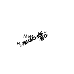 COc1cc(-c2cc3nc(N)nc(N4N=CCC4c4ccccc4)c3s2)ccc1N1CCC(N2CCN(C)CC2)CC1